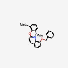 COc1cccc(OC)c1Oc1ccc2cccc(OCc3ccccc3)c2n1